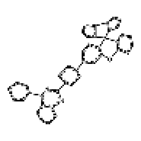 c1ccc(-c2nc(-c3ccc(-c4ccc5c(c4)Oc4ccccc4C54c5ccccc5-c5ccccc54)cc3)nc3ccccc23)cc1